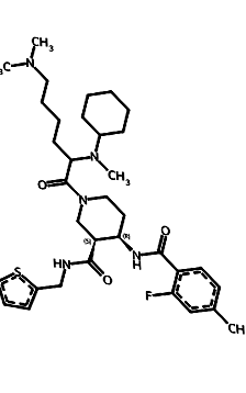 Cc1ccc(C(=O)N[C@@H]2CCN(C(=O)C(CCCCN(C)C)N(C)C3CCCCC3)C[C@@H]2C(=O)NCc2cccs2)c(F)c1